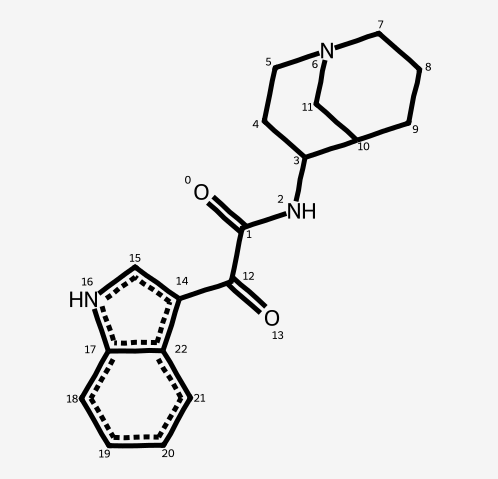 O=C(NC1CCN2CCCC1C2)C(=O)c1c[nH]c2ccccc12